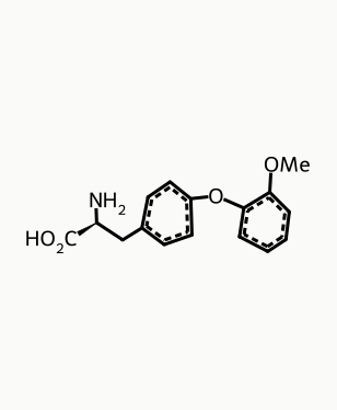 COc1ccccc1Oc1ccc(C[C@H](N)C(=O)O)cc1